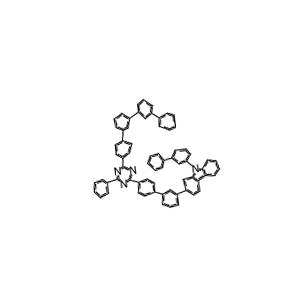 c1ccc(-c2cccc(-c3cccc(-c4ccc(-c5nc(-c6ccccc6)nc(-c6ccc(-c7cccc(-c8ccc9c%10ccccc%10n(-c%10cccc(-c%11ccccc%11)c%10)c9c8)c7)cc6)n5)cc4)c3)c2)cc1